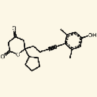 Cc1cc(O)cc(C)c1C#CCCC1(C2CCCC2)CC(=O)CC(=O)O1